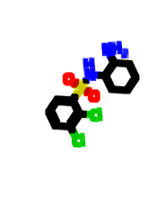 NC1CCCCC1NS(=O)(=O)c1cccc(Cl)c1Cl